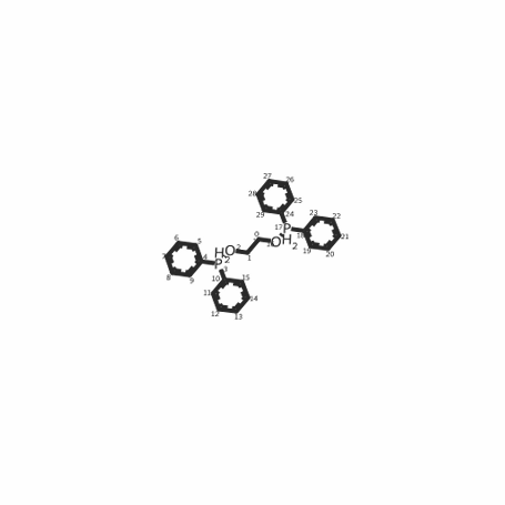 [CH](CO[PH2](c1ccccc1)c1ccccc1)O[PH2](c1ccccc1)c1ccccc1